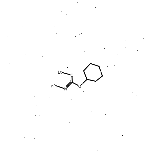 CCCN=C(OCC)OC1CCCCC1